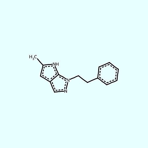 Cc1cc2cnn(CCc3ccccc3)c2[nH]1